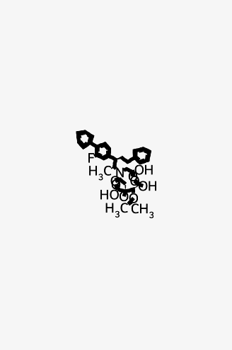 C[C@H]([C@H](CCc1ccccc1)c1ccc(-c2ccccc2)c(F)c1)N(CC(=O)O)C(=O)C[C@@]1(C(=O)O)OC(C)(C)O[C@H]1C(=O)O